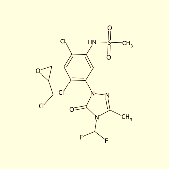 Cc1nn(-c2cc(NS(C)(=O)=O)c(Cl)cc2Cl)c(=O)n1C(F)F.ClCC1CO1